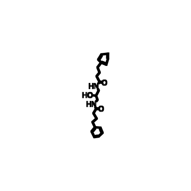 O=C(CCCc1ccccc1)NCC(O)CNC(=O)CCCc1ccccc1